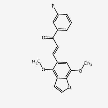 COc1c(/C=C/C(=O)c2cccc(F)c2)cc(OC)c2occc12